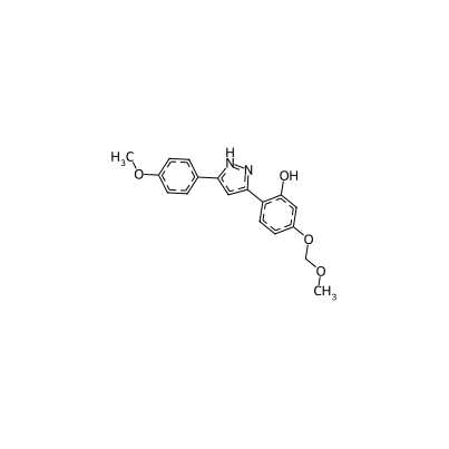 COCOc1ccc(-c2cc(-c3ccc(OC)cc3)[nH]n2)c(O)c1